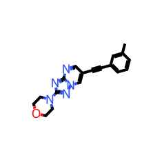 Cc1cccc(C#Cc2cnc3nc(N4CCOCC4)nn3c2)c1